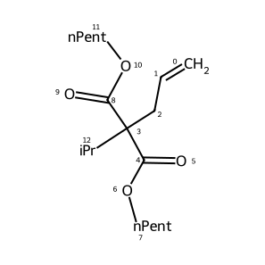 C=CCC(C(=O)OCCCCC)(C(=O)OCCCCC)C(C)C